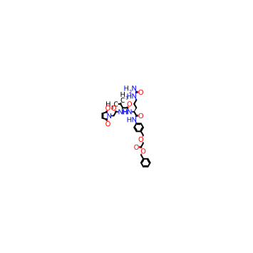 CC(C)[C@H](NC(=O)CN1C(=O)C=CC1=O)C(=O)N[C@@H](CCCNC(N)=O)C(=O)Nc1ccc(COCC(=O)OCc2ccccc2)cc1